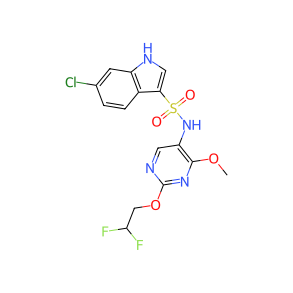 COc1nc(OCC(F)F)ncc1NS(=O)(=O)c1c[nH]c2cc(Cl)ccc12